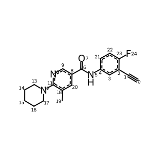 C#Cc1cc(NC(=O)c2cnc(N3CCCCC3)c(C)c2)ccc1F